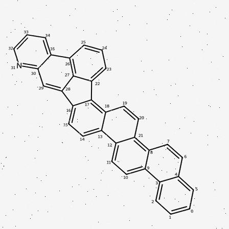 c1ccc2c(c1)ccc1c2ccc2c3ccc4c(c3ccc21)-c1cccc2c1c-4cc1ncccc12